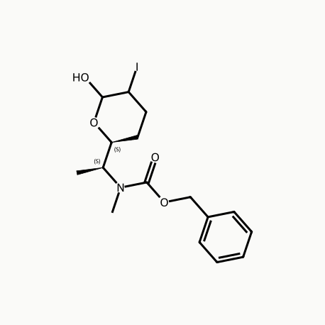 C[C@@H]([C@@H]1CCC(I)C(O)O1)N(C)C(=O)OCc1ccccc1